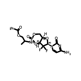 CC(COC(=O)C(C)C)NP1(=O)OC[C@H]2O[C@@H](n3ccc(N)nc3=O)C(F)(F)[C@@H]2O1